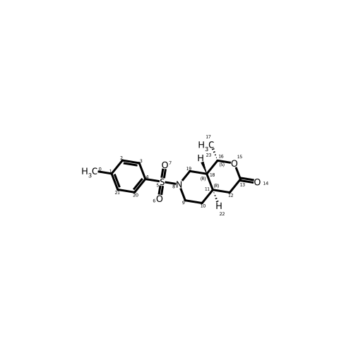 Cc1ccc(S(=O)(=O)N2CC[C@@H]3CC(=O)O[C@@H](C)[C@H]3C2)cc1